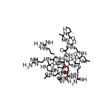 CC[C@H](C)[C@H](NC(C)=O)C(=O)N[C@@H](CCC(=O)O)C(=O)NCC(=O)N[C@@H](CC(C)C)C(=O)N[C@@H](CCCNC(=N)N)C(=O)N[C@@H](CCCCN)C(=O)N[C@@H](CCCNC(=N)N)C(=O)N[C@@H](CCCNC(=N)N)C(=O)N[C@@H](CCCNC(=N)N)C(=O)N[C@@H](CC(C)C)C(=O)N[C@@H](CC(C)C)C(=O)N[C@@H](CO)C(N)=O